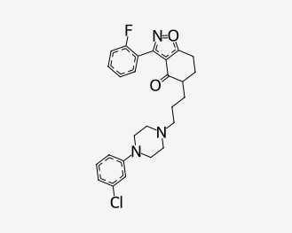 O=C1c2c(-c3ccccc3F)noc2CCC1CCCN1CCN(c2cccc(Cl)c2)CC1